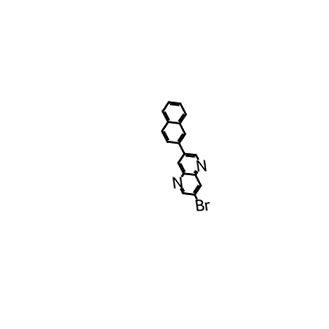 Brc1cnc2cc(-c3ccc4ccccc4c3)cnc2c1